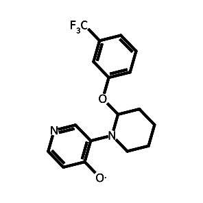 [O]c1ccncc1N1CCCCC1Oc1cccc(C(F)(F)F)c1